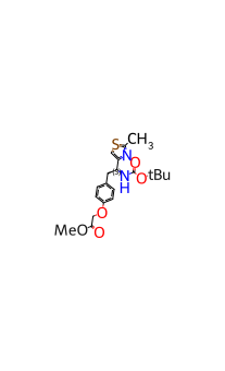 COC(=O)COc1ccc(C[C@H](NC(=O)OC(C)(C)C)c2csc(C)n2)cc1